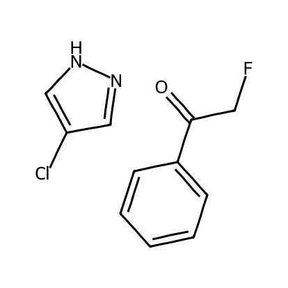 Clc1cn[nH]c1.O=C(CF)c1ccccc1